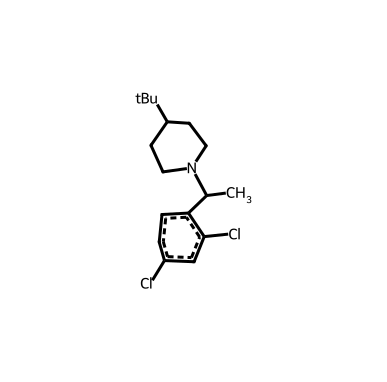 CC(c1ccc(Cl)cc1Cl)N1CCC(C(C)(C)C)CC1